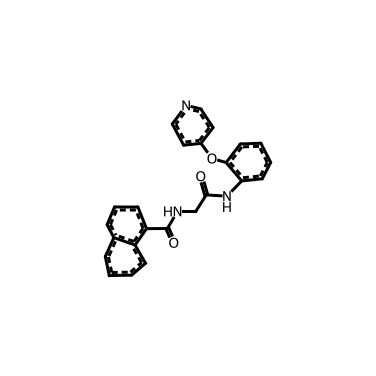 O=C(CNC(=O)c1cccc2ccccc12)Nc1ccccc1Oc1ccncc1